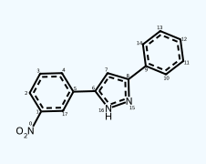 O=[N+]([O-])c1cccc(-c2cc(-c3ccccc3)n[nH]2)c1